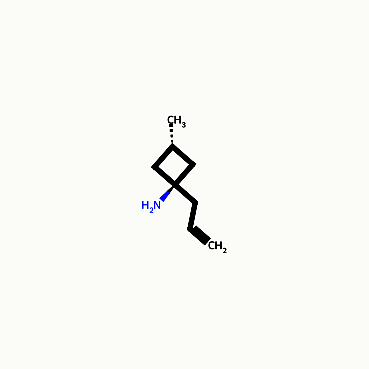 C=CC[C@]1(N)C[C@H](C)C1